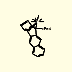 CCCCC[C]1([Hf]([CH3])([CH3])([CH3])([CH3])([CH3])([CH3])([CH3])[CH]2C=CC=C2)C=Cc2cc3ccccc3cc21